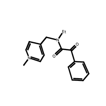 CCN(Cc1cc[n+](C)cc1)C(=O)C(=O)c1ccccc1